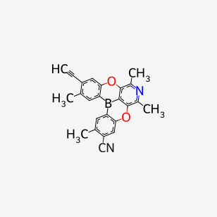 C#Cc1cc2c(cc1C)B1c3cc(C)c(C#N)cc3Oc3c(C)nc(C)c(c31)O2